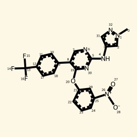 Cn1cc(Nc2ncc(-c3ccc(C(F)(F)F)cc3)c(Oc3cccc([N+](=O)[O-])c3)n2)cn1